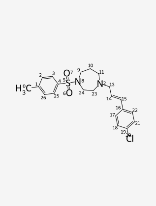 Cc1ccc(S(=O)(=O)N2CCCN(C/C=C/c3ccc(Cl)cc3)CC2)cc1